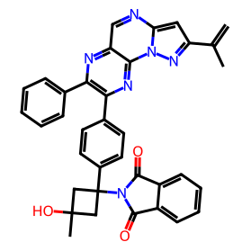 C=C(C)c1cc2ncc3nc(-c4ccccc4)c(-c4ccc(C5(N6C(=O)c7ccccc7C6=O)CC(C)(O)C5)cc4)nc3n2n1